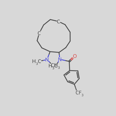 CN(C)C1CCCCCCCCCCC1N(C)C(=O)c1ccc(C(F)(F)F)cc1